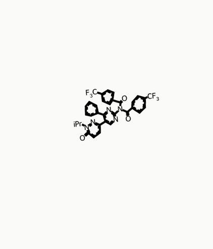 CC(C)n1nc(-c2cnc(N(C(=O)c3ccc(C(F)(F)F)cc3)C(=O)c3ccc(C(F)(F)F)cc3)nc2-c2ccccc2)ccc1=O